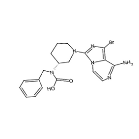 Nc1nccn2c(N3CCC[C@@H](N(Cc4ccccc4)C(=O)O)C3)nc(Br)c12